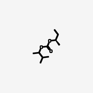 CC[C@@H](C)OC(=O)OC(C)C(C)C